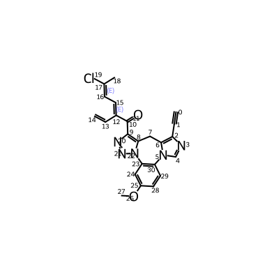 C#Cc1ncn2c1Cc1c(C(=O)/C(C=C)=C/C=C(\C)Cl)nnn1-c1cc(OC)ccc1-2